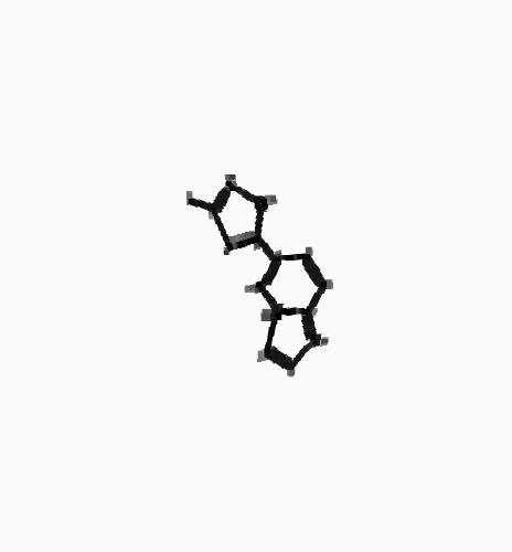 Cc1cc(-c2ccc3nc[c]n3n2)on1